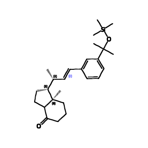 C[C@H](/C=C/c1cccc(C(C)(C)O[Si](C)(C)C)c1)[C@H]1CCC2C(=O)CCC[C@@]21C